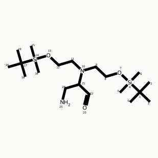 CC(C)(C)[Si](C)(C)OCCN(CCO[Si](C)(C)C(C)(C)C)C(C=O)CN